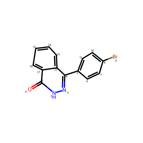 O=c1[nH]nc(-c2ccc(Br)cc2)c2ccccc12